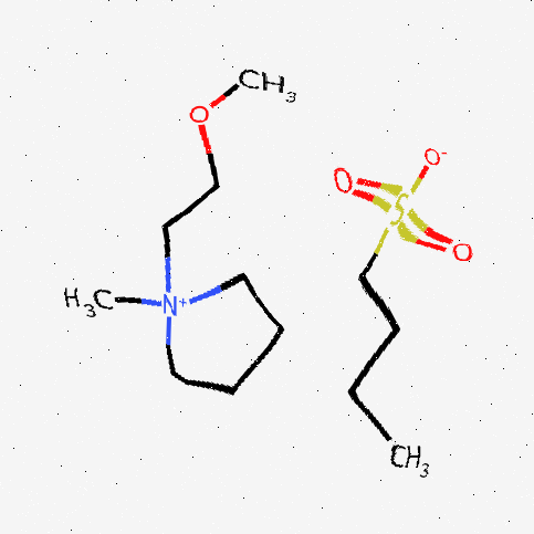 CCCCS(=O)(=O)[O-].COCC[N+]1(C)CCCC1